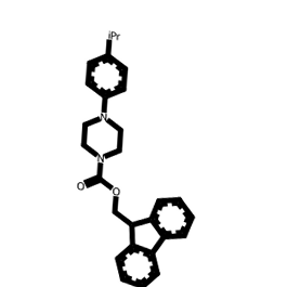 CC(C)c1ccc(N2CCN(C(=O)OCC3c4ccccc4-c4ccccc43)CC2)cc1